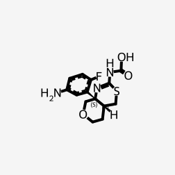 Nc1ccc(F)c([C@]23COCC[C@H]2CSC(NC(=O)O)=N3)c1